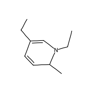 CCC1=CN(CC)C(C)C=C1